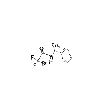 CC(NC(=O)C(F)(F)Br)c1ccccc1